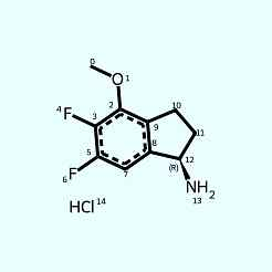 COc1c(F)c(F)cc2c1CC[C@H]2N.Cl